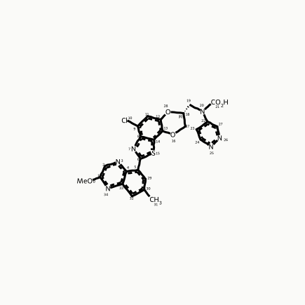 COc1cnc2c(-c3nc4c(Cl)cc5c(c4s3)OC[C@@H](CN(C(=O)O)c3ccnnc3)O5)cc(C)cc2n1